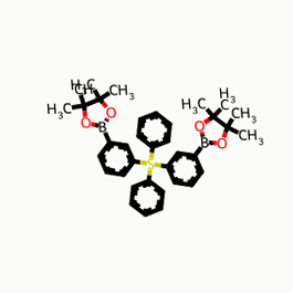 CC1(C)OB(c2cccc(S(c3ccccc3)(c3ccccc3)c3cccc(B4OC(C)(C)C(C)(C)O4)c3)c2)OC1(C)C